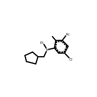 CCN(CC1CCCC1)c1cc(Cl)cc(C(C)=O)c1C